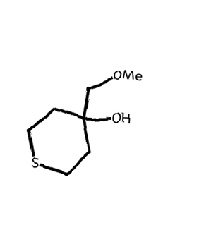 COCC1(O)CCSCC1